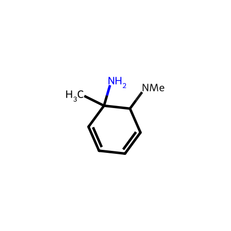 CNC1C=CC=CC1(C)N